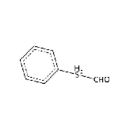 O=C[SH2]c1ccccc1